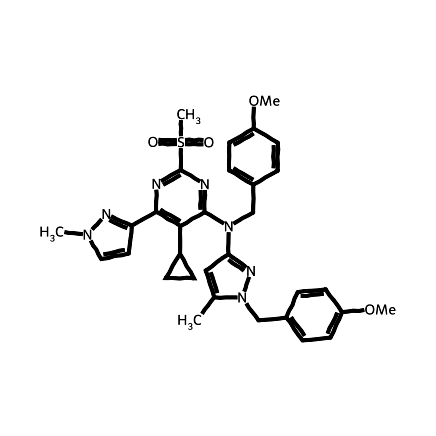 COc1ccc(CN(c2cc(C)n(Cc3ccc(OC)cc3)n2)c2nc(S(C)(=O)=O)nc(-c3ccn(C)n3)c2C2CC2)cc1